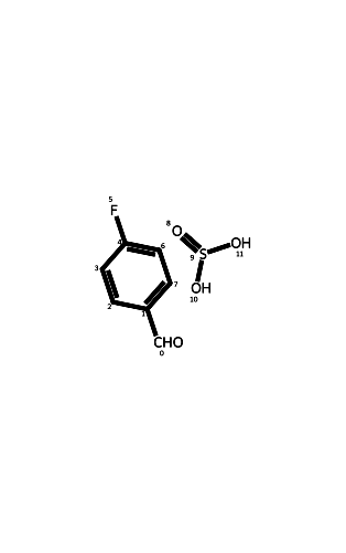 O=Cc1ccc(F)cc1.O=S(O)O